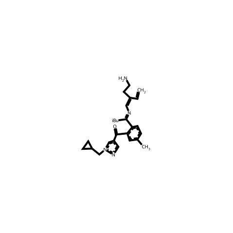 C=C/C(=C\N=C(\c1ccc(C)cc1C(=O)c1cnn(CC2CC2)c1)C(C)CC)CCN